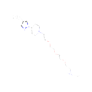 CCOC(=O)c1cnn(C2CCN(CCOCCOCCOCCNC=O)CC2)c1